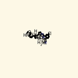 CN1/C(=C\C(=C/C=O)c2cc(Cl)ccc2N(N)/C=N\N)CCC1c1ncc(-c2ccc3c(n2)OCCN3)[nH]1